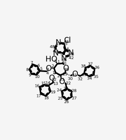 O[C@@H]1[C@H](OCc2ccccc2)[C@@H](OCc2ccccc2)[C@H](OCc2ccccc2)[C@@H](COCc2ccccc2)O[C@H]1n1cnc2c(Cl)ncnc21